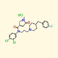 CN1CC(C(=O)N(CCCN2CCC(Cc3ccc(F)cc3)CC2)c2ccc(Cl)c(Cl)c2)CC1=O.Cl